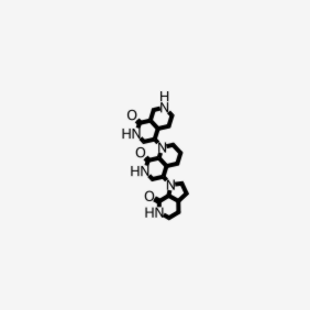 O=C1NCC(N2CCCC3C(N4CCC5CCNC(=O)C54)CNC(=O)C32)C2CCNCC12